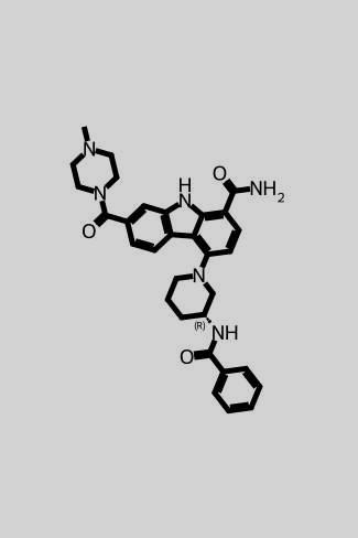 CN1CCN(C(=O)c2ccc3c(c2)[nH]c2c(C(N)=O)ccc(N4CCC[C@@H](NC(=O)c5ccccc5)C4)c23)CC1